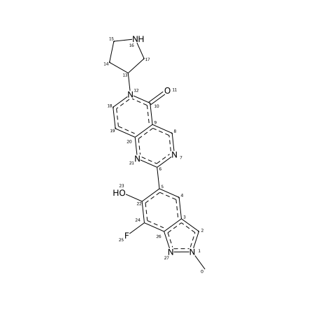 Cn1cc2cc(-c3ncc4c(=O)n(C5CCNC5)ccc4n3)c(O)c(F)c2n1